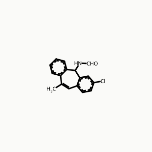 CC1=Cc2ccc(Cl)cc2C(NC=O)c2ccccc21